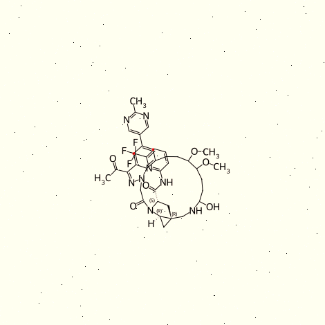 COC1CCc2cc(-c3cnc(C)nc3)cc3c(C(C)=O)nn(c23)CC(=O)N2[C@H](C(=O)Nc3cccc(C(F)(F)F)n3)C[C@@]3(CNC(O)CCC1OC)C[C@@H]23